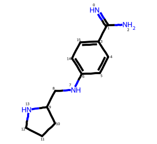 N=C(N)c1ccc(NCC2CCCN2)cc1